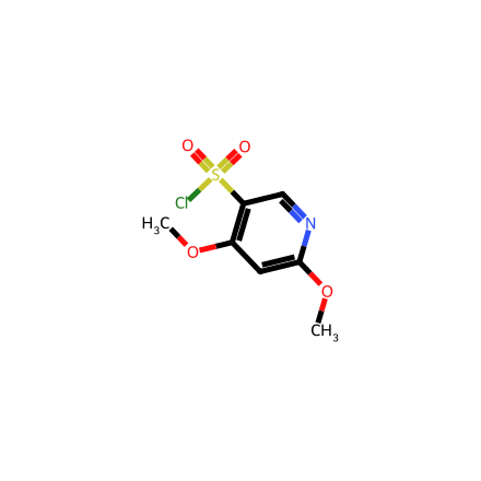 COc1cc(OC)c(S(=O)(=O)Cl)cn1